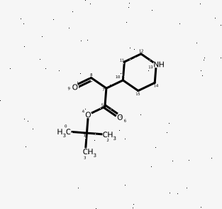 CC(C)(C)OC(=O)C(C=O)C1CCNCC1